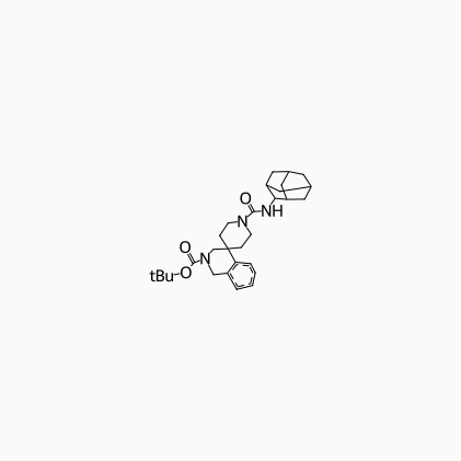 CC(C)(C)OC(=O)N1Cc2ccccc2C2(CCN(C(=O)NC3C4CC5CC(C4)CC3C5)CC2)C1